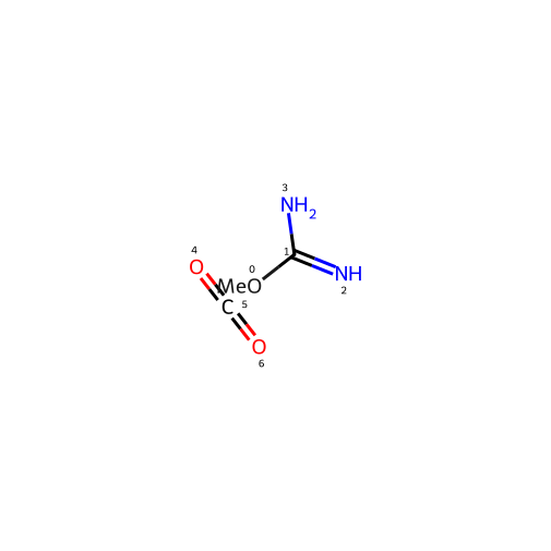 COC(=N)N.O=C=O